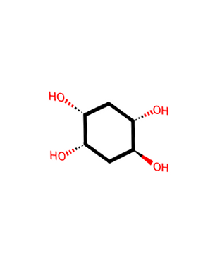 O[C@@H]1C[C@H](O)[C@@H](O)C[C@@H]1O